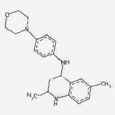 Cc1ccc2c(c1)C(Nc1ccc(N3CCOCC3)cc1)CC(C)N2